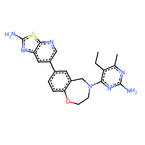 CCc1c(C)nc(N)nc1N1CCOc2ccc(-c3cnc4sc(N)nc4c3)cc2C1